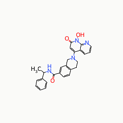 CC(NC(=O)c1ccc2c(c1)CN(c1cc(=O)n(O)c3ncccc13)CC2)c1ccccc1